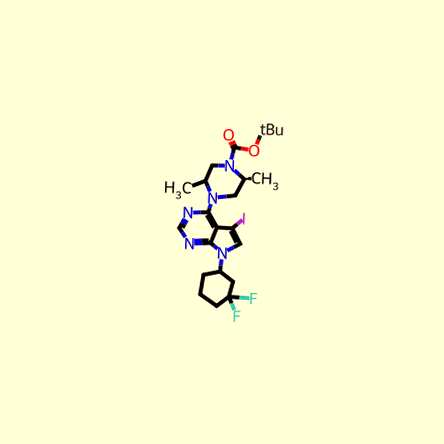 CC1CN(C(=O)OC(C)(C)C)[C@@H](C)CN1c1ncnc2c1c(I)cn2C1CCCC(F)(F)C1